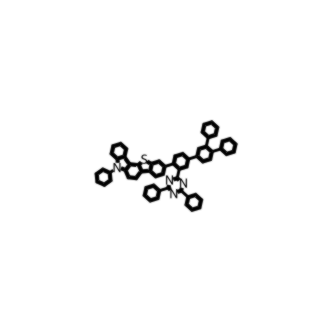 c1ccc(-c2nc(-c3ccccc3)nc(-c3cc(-c4ccc(-c5ccccc5)c(-c5ccccc5)c4)ccc3-c3ccc4c(c3)sc3c4ccc4c3c3ccccc3n4-c3ccccc3)n2)cc1